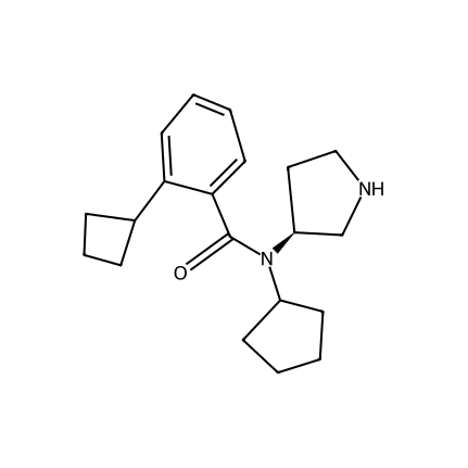 O=C(c1ccccc1C1CCC1)N(C1CCCC1)[C@H]1CCNC1